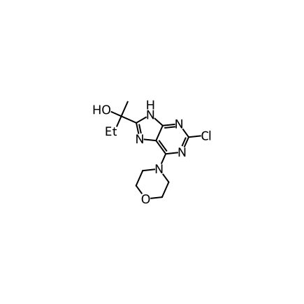 CCC(C)(O)c1nc2c(N3CCOCC3)nc(Cl)nc2[nH]1